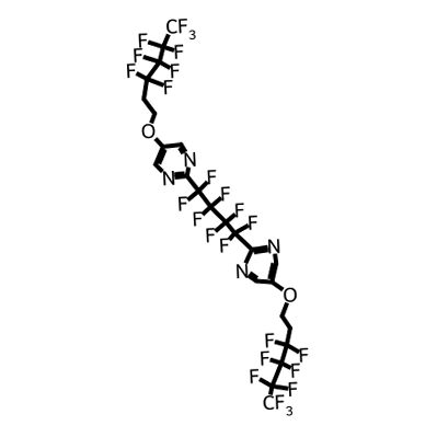 FC(F)(F)C(F)(F)C(F)(F)C(F)(F)CCOc1cnc(C(F)(F)C(F)(F)C(F)(F)C(F)(F)c2ncc(OCCC(F)(F)C(F)(F)C(F)(F)C(F)(F)F)cn2)nc1